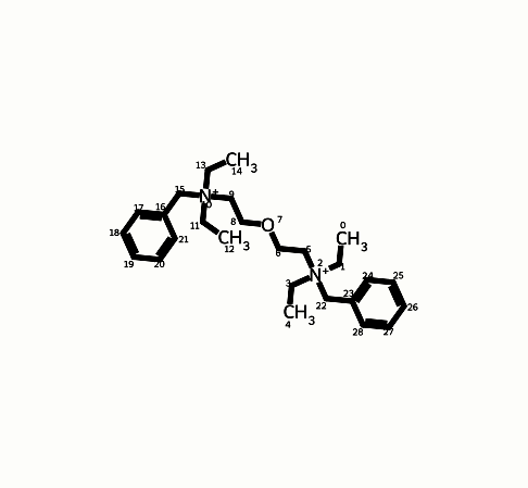 CC[N+](CC)(CCOCC[N+](CC)(CC)Cc1ccccc1)Cc1ccccc1